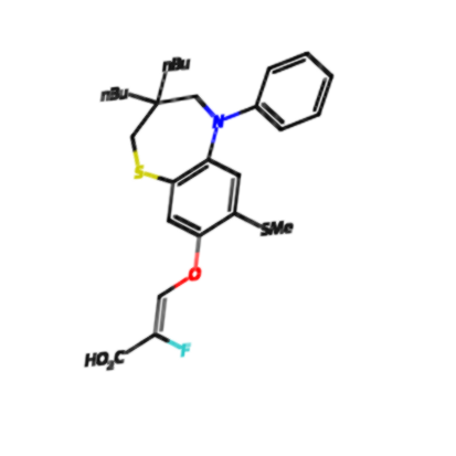 CCCCC1(CCCC)CSc2cc(O/C=C(\F)C(=O)O)c(SC)cc2N(c2ccccc2)C1